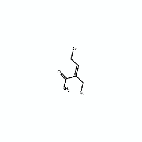 CC(=O)C/C=C(/CC(C)=O)C(N)=O